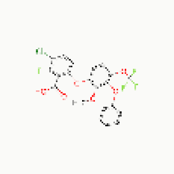 COc1c(Oc2ccc(Cl)c(F)c2C(=O)O)ccc(OC(F)(F)F)c1Oc1ccccc1